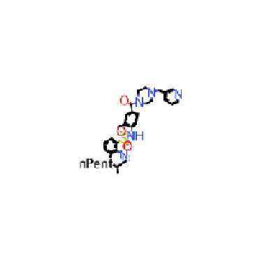 CCCCCC(C)/C=N\c1c(C)cccc1S(=O)(=O)Nc1ccc(C(=O)N2CCN(Cc3cccnc3)CC2)cc1C